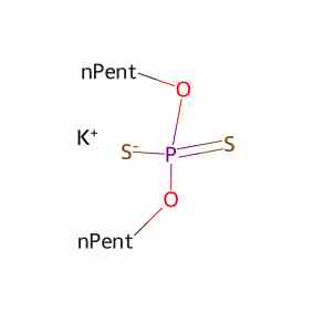 CCCCCOP(=S)([S-])OCCCCC.[K+]